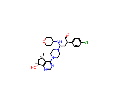 C[C@@H]1C[C@@H](O)c2ncnc(N3CCN(C(CC(C=O)c4ccc(Cl)cc4)NC4CCOCC4)CC3)c21